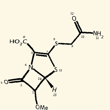 COC1C(=O)N2C(C(=O)O)=C(SCC(N)=O)S[C@H]12